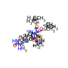 CC(C)(C)OC(=O)N1[C@@H]2CC[C@H]1C[C@@H](c1nc3c(-c4ccc(C5(C)NC(=O)NC5=O)nc4)cnn3c(N(COCC[Si](C)(C)C)COCC[Si](C)(C)C)c1Br)C2